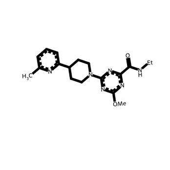 CCNC(=O)c1nc(OC)nc(N2CCC(c3cccc(C)n3)CC2)n1